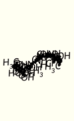 CCc1ccc2c(O)cc3c(c2c1)C(CCl)CN3C(=O)c1cc2cc(NC(=O)c3cc(NC(=O)CCCN[C@H]4CC(O[C@H]5C[C@](O)(C(=O)CO)Cc6c(O)c7c(c(O)c65)C(=O)c5c(OC)cccc5C7=O)O[C@@H](C)[C@H]4O)cn3C)ccc2[nH]1